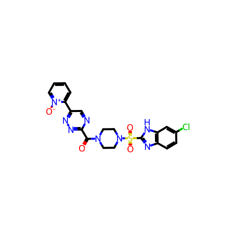 O=C(c1ncc(-c2cccc[n+]2[O-])nn1)N1CCN(S(=O)(=O)c2nc3ccc(Cl)cc3[nH]2)CC1